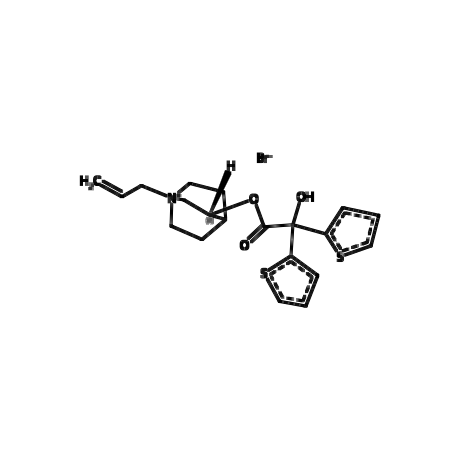 C=CC[N+]12CCC(CC1)[C@@H](OC(=O)C(O)(c1cccs1)c1cccs1)C2.[Br-]